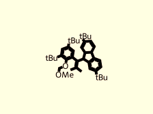 COCOc1c(C(=C(C)C)C2c3cc(C(C)(C)C)ccc3C3C=CC(C(C)(C)C)=CC32)cc(C(C)(C)C)cc1C(C)(C)C